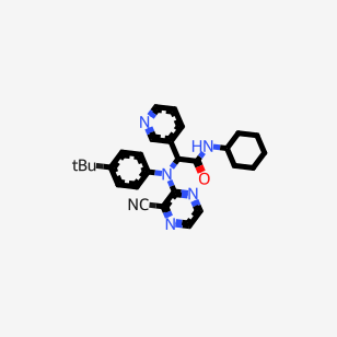 CC(C)(C)c1ccc(N(c2nccnc2C#N)C(C(=O)NC2CCCCC2)c2cccnc2)cc1